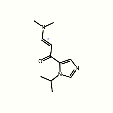 CC(C)n1cncc1C(=O)/C=C/N(C)C